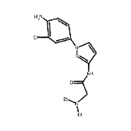 CCN(CC)CC(=O)Nc1ccn(-c2ccc(N)c(Cl)c2)n1